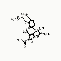 COc1ccc(-c2c(C#N)c(N)nc3sc(C(N)=O)c(N)c23)cc1CCC(=O)O